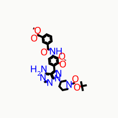 COC(=O)c1cccc(C(=O)Nc2ccc(-c3nn(C4CCCN(C(=O)OC(C)(C)C)C4)c4ncnc(N)c34)c3c2OCO3)c1